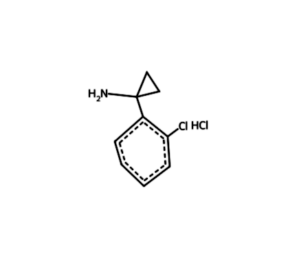 Cl.NC1(c2ccccc2Cl)CC1